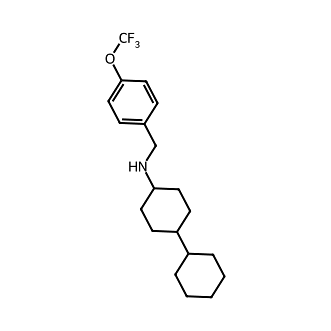 FC(F)(F)Oc1ccc(CNC2CCC(C3CCCCC3)CC2)cc1